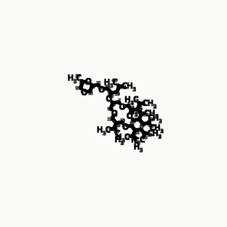 CC(C)CC(COCC(COCC(COCC(CC(C)C)C(C)C)C(C)C)OC(COCC1COCC(C)O1)CC(C)C)OCC(CC(C)C)C(C)C